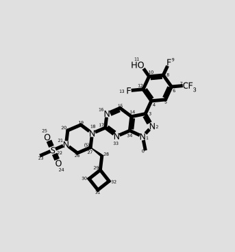 Cn1nc(-c2cc(C(F)(F)F)c(F)c(O)c2F)c2cnc(N3CCN(S(C)(=O)=O)C[C@@H]3CC3CCC3)nc21